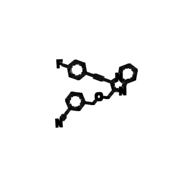 N#Cc1cccc(COCc2nc3ccccn3c2C#Cc2ccc(F)cc2)c1